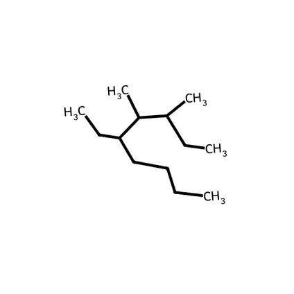 CCCCC(CC)C(C)C(C)CC